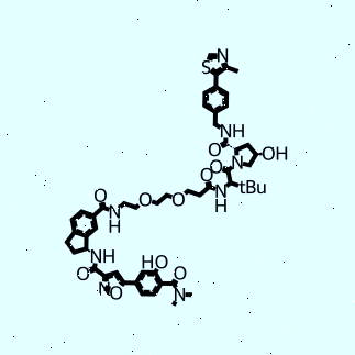 Cc1ncsc1-c1ccc(CNC(=O)[C@@H]2C[C@@H](O)CN2C(=O)C(NC(=O)CCOCCOCCNC(=O)c2ccc3c(c2)[C@H](NC(=O)c2cc(-c4ccc(C(=O)N(C)C)c(O)c4)on2)CC3)C(C)(C)C)cc1